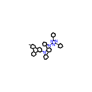 Cc1ccc2c3ccc(-n4c5ccccc5c5ccc6c(c7ccccc7n6-c6nc(-c7ccccc7)nc(-c7ccccc7)n6)c54)cc3c3ccccc3c2c1